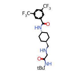 CC(C)(C)NC(=O)CNC[C@H]1CC[C@H](NC(=O)c2cc(C(F)(F)F)cc(C(F)(F)F)c2)CC1